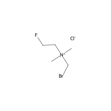 C[N+](C)(CBr)CCF.[Cl-]